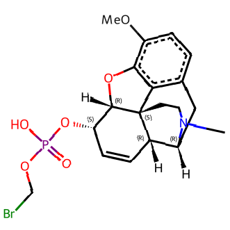 COc1ccc2c3c1O[C@H]1[C@@H](OP(=O)(O)OCBr)C=C[C@H]4[C@@H](C2)N(C)CC[C@@]341